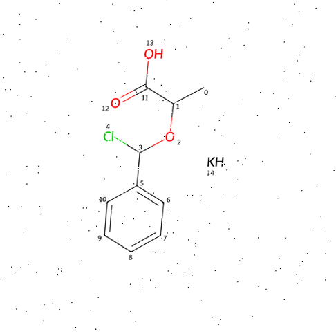 CC(OC(Cl)c1ccccc1)C(=O)O.[KH]